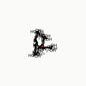 CC(=O)N[C@H]1[C@H](OCCOCCn2cc(CN(CCCC[C@@H](C(=O)O)N(Cc3cn(CCOCCOC4O[C@H](CO)[C@H](O)[C@H](O)[C@H]4NC(C)=O)nn3)Cc3cn(CCOCCO[C@@H]4O[C@H](CO)[C@H](O)[C@H](O)[C@H]4C)nn3)Cc3cn(CCOCCO[C@@H]4O[C@H](CO)[C@H](O)[C@H](O)[C@H]4NC(C)=O)nn3)nn2)O[C@H](O)[C@H](O)[C@@H]1O